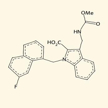 COC(=O)NCc1c(C(=O)O)n(Cc2cccc3ccc(F)cc23)c2ccccc12